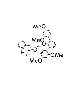 COc1ccc(-c2cccc(-c3ccc(OC)cc3OC)c2OCCOC(C)Cc2ccccc2)c(OC)c1